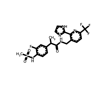 CC(C(=O)NCc1ccc(C(F)(F)F)nc1-c1ncc[nH]1)c1ccc(NS(C)(=O)=O)c(F)c1